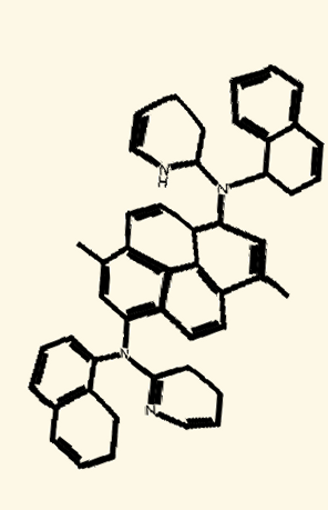 CC1=CC(N(C2CCC=CN2)C2CC=Cc3ccccc32)C2C=Cc3c(C)cc(N(C4=NC=CCC4)c4cccc5c4CCC=C5)c4ccc1c2c34